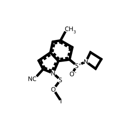 Cc1cc([S+]([O-])N2CCC2)c2c(c1)cc(C#N)n2SOI